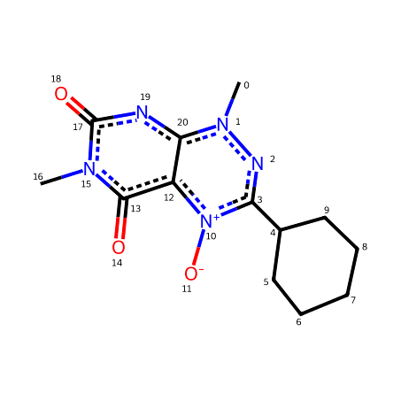 Cn1nc(C2CCCCC2)[n+]([O-])c2c(=O)n(C)c(=O)nc1-2